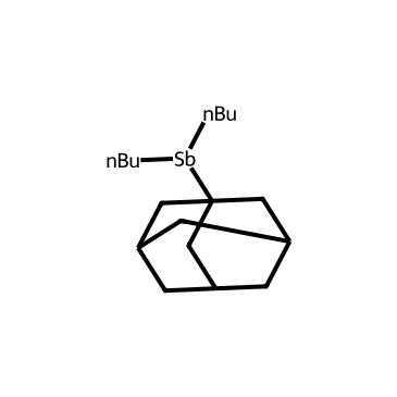 CCC[CH2][Sb]([CH2]CCC)[C]12CC3CC(CC(C3)C1)C2